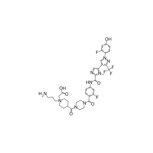 Cn1c(-c2cn(-c3ccc(O)cc3F)nc2C(F)(F)F)cnc1C(=O)Nc1ccc(C(=O)N2CCN(C(=O)C3CC[N+](CCCN)(CC(=O)O)CC3)CC2)c(F)c1